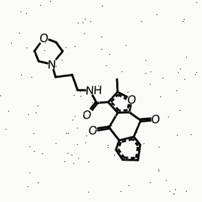 Cc1oc2c(c1C(=O)NCCCN1CCOCC1)C(=O)c1ccccc1C2=O